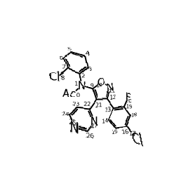 CC(=O)N(c1ccccc1Cl)c1onc(-c2ccc(Cl)cc2F)c1-c1ccncn1